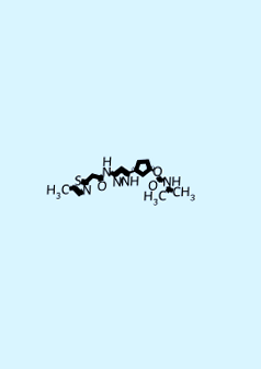 Cc1cnc(CC(=O)Nc2cc([C@H]3CC[C@@H](OC(=O)NC(C)C)C3)[nH]n2)s1